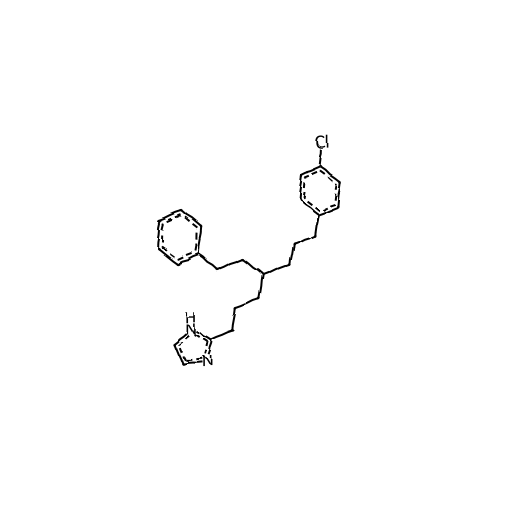 Clc1ccc(CCCC(CCCc2ncc[nH]2)CCc2ccccc2)cc1